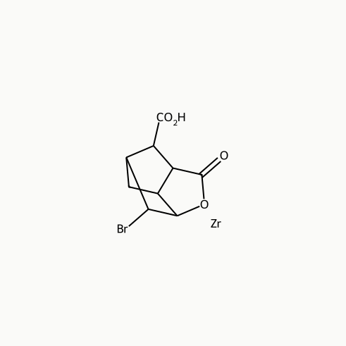 O=C(O)C1C2CC3C(OC(=O)C31)C2Br.[Zr]